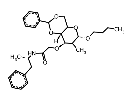 CCCCO[C@H]1OC2COC(c3ccccc3)O[C@H]2[C@H](OCC(=O)N[C@@H](C)Cc2ccccc2)C1C